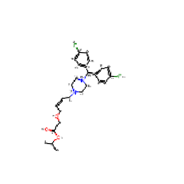 CC(C)OC(=O)COC/C=C\CN1CCN(C(c2ccc(F)cc2)c2ccc(F)cc2)CC1